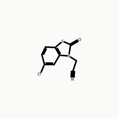 N#CCn1c(=O)sc2ccc(Cl)cc21